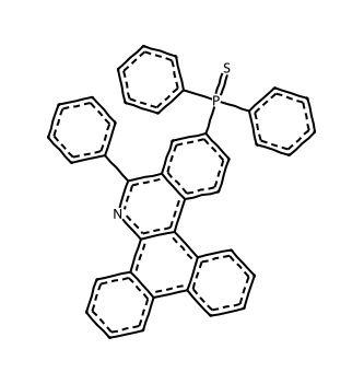 S=P(c1ccccc1)(c1ccccc1)c1ccc2c(c1)c(-c1ccccc1)nc1c3ccccc3c3ccccc3c21